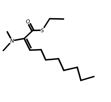 CCCCCCC/C=C(\C(=O)SCC)N(C)C